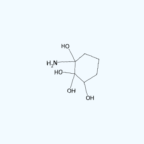 NC1(O)CCCC(O)C1(O)O